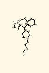 CCOCCN1CCC(=C2c3ccccc3CCn3ncnc32)CC1